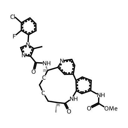 COC(=O)Nc1ccc2c(c1)NC(=O)[C@H](C)CCCC[C@H](NC(=O)c1ncn(-c3cccc(Cl)c3F)c1C)c1cc-2ccn1